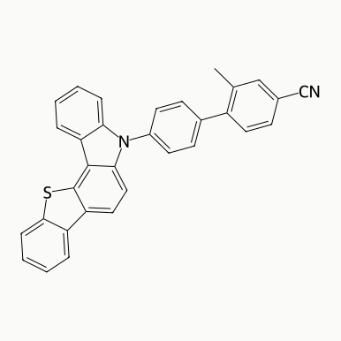 Cc1cc(C#N)ccc1-c1ccc(-n2c3ccccc3c3c4sc5ccccc5c4ccc32)cc1